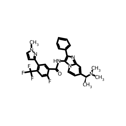 C[C@@H](c1ccn2c(NC(=O)c3cc(-c4ccn(C)n4)c(C(F)(F)F)cc3F)c(-c3ccccc3)nc2c1)N(C)C